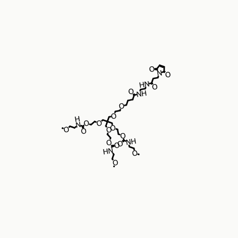 COCCNC(=O)OCCOCC(COCCOCCCC(=O)NCCNC(=O)CCN1C(=O)C=CC1=O)(COCCOC(=O)NCCOC)COCCOC(=O)NCCOC